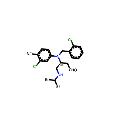 CCC(CC)NC[C@H](CC=O)N(Cc1ccccc1Cl)c1ccc(C#N)c(Cl)c1